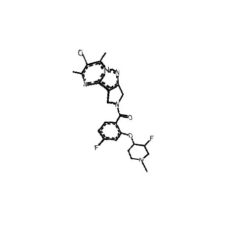 Cc1nc2c3c(nn2c(C)c1Cl)CN(C(=O)c1ccc(F)cc1OC1CCN(C)CC1F)C3